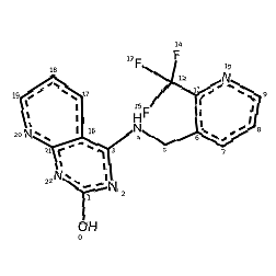 Oc1nc(NCc2cccnc2C(F)(F)F)c2cccnc2n1